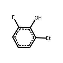 CCc1cccc(F)c1O